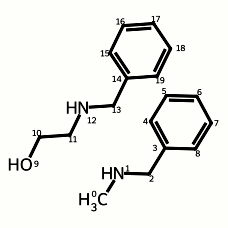 CNCc1ccccc1.OCCNCc1ccccc1